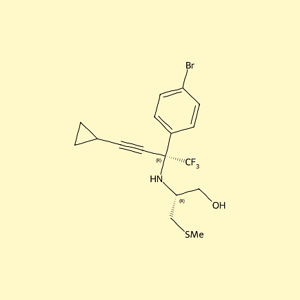 CSC[C@@H](CO)N[C@@](C#CC1CC1)(c1ccc(Br)cc1)C(F)(F)F